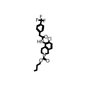 CCCCOC(=O)N1CCc2c(ccc(Cl)c2NC(=O)Cc2ccc(C(F)(F)F)cc2)C1